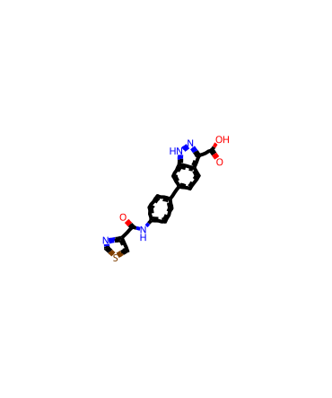 O=C(Nc1ccc(-c2ccc3c(C(=O)O)n[nH]c3c2)cc1)c1cscn1